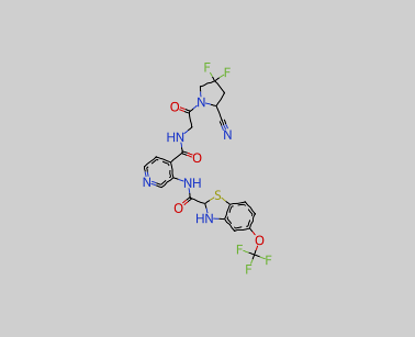 N#CC1CC(F)(F)CN1C(=O)CNC(=O)c1ccncc1NC(=O)C1Nc2cc(OC(F)(F)F)ccc2S1